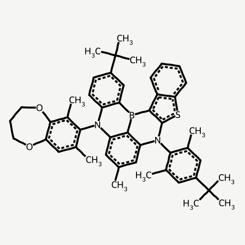 Cc1cc2c3c(c1)N(c1c(C)cc(C(C)(C)C)cc1C)c1sc4ccccc4c1B3c1cc(C(C)(C)C)ccc1N2c1c(C)cc2c(c1C)OCCCO2